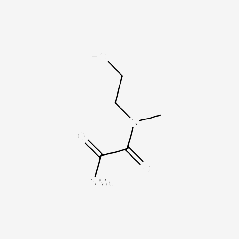 CNC(=O)C(=O)N(C)CCO